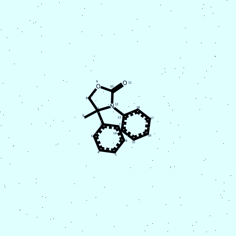 CC1(c2ccccc2)COC(=O)N1c1ccccc1